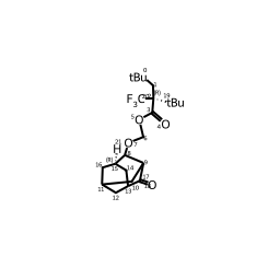 CC(C)(C)C[C@](C(=O)OCOC1C2CC3CC(C[C@H]1C3)C2=O)(C(C)(C)C)C(F)(F)F